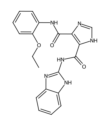 CCOc1ccccc1NC(=O)c1nc[nH]c1C(=O)Nc1nc2ccccc2[nH]1